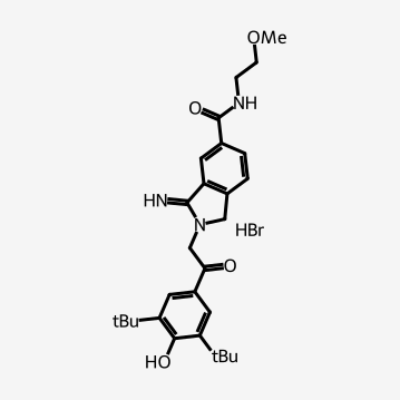 Br.COCCNC(=O)c1ccc2c(c1)C(=N)N(CC(=O)c1cc(C(C)(C)C)c(O)c(C(C)(C)C)c1)C2